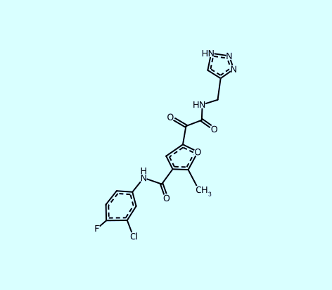 Cc1oc(C(=O)C(=O)NCc2c[nH]nn2)cc1C(=O)Nc1ccc(F)c(Cl)c1